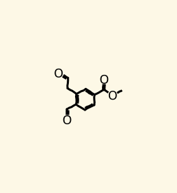 COC(=O)c1ccc(C=O)c(CC=O)c1